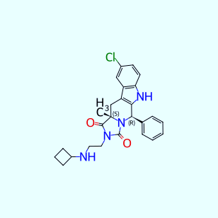 C[C@@]12Cc3c([nH]c4ccc(Cl)cc34)[C@@H](c3ccccc3)N1C(=O)N(CCNC1CCC1)C2=O